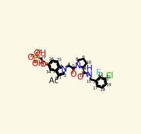 CC(=O)c1cn(CC(=O)N2CCC[C@H]2C(=O)NCc2cccc(Cl)c2F)c2ccc(OCP(=O)(O)O)cc12